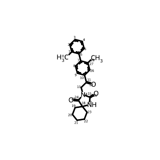 Cc1ccccc1-c1ccc(C(=O)CN2C(=O)NC3(CCCCC3)C2=O)cc1C